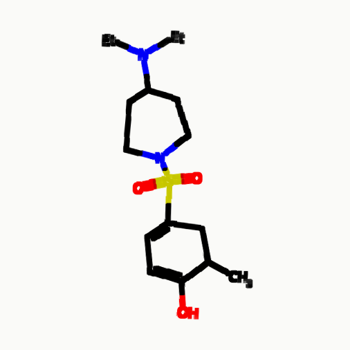 CCN(CC)C1CCN(S(=O)(=O)C2=CC=C(O)C(C)C2)CC1